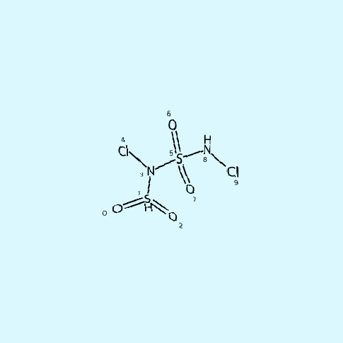 O=[SH](=O)N(Cl)S(=O)(=O)NCl